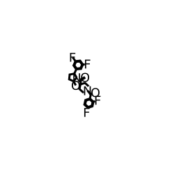 O=C(c1ccc(F)cc1F)N1CCC2(CC1)OC1CCC(c3cc(F)cc(F)c3)N1C2=O